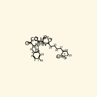 Cc1ccc(C[C@H](NC(=O)[C@@H](NC(=O)CCCCC2CCS[S+]2[O-])C(C)C)C(=O)C(=O)O)cc1